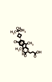 CC(C)C1=CN(CCC(=O)O)C(=O)N[C@@]1(C)c1ccc([C@H]2C[C@@H](C(C)(C)C)C2)c(Cl)c1